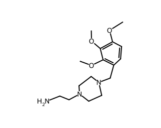 COc1ccc(CN2CCN(CCN)CC2)c(OC)c1OC